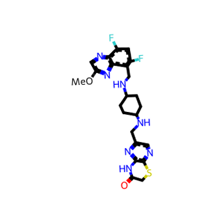 COc1cnc2c(F)cc(F)c(CNC3CCC(NCc4cnc5c(n4)NC(=O)CS5)CC3)c2n1